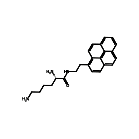 NCCCC[C@H](N)C(=O)NCCc1ccc2ccc3cccc4ccc1c2c34